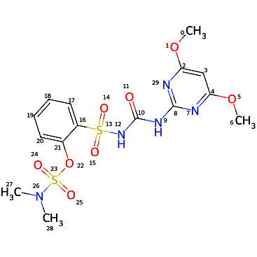 COc1cc(OC)nc(NC(=O)NS(=O)(=O)c2ccccc2OS(=O)(=O)N(C)C)n1